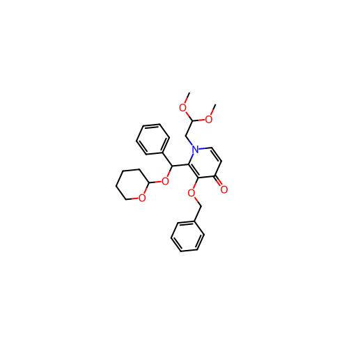 COC(Cn1ccc(=O)c(OCc2ccccc2)c1C(OC1CCCCO1)c1ccccc1)OC